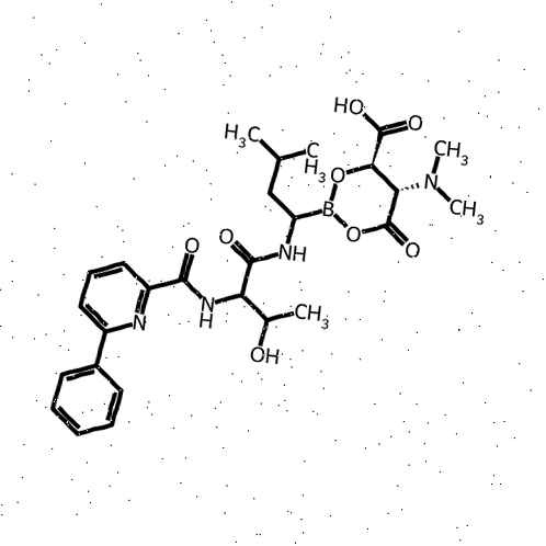 CC(C)CC(NC(=O)C(NC(=O)c1cccc(-c2ccccc2)n1)C(C)O)B1OC(=O)[C@@H](N(C)C)[C@H](C(=O)O)O1